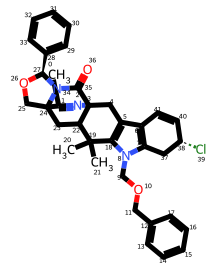 CC1=NC23Cc4c5c(n(COCc6ccccc6)c4C(C)(C)C2CC12CO[C@@H](c1ccccc1)N2C3=O)C[C@@H](Cl)C=C5